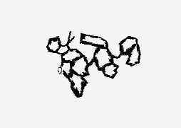 CC1(C)c2ccccc2-c2c1cc1c(-c3c4ccccc4c(-c4cccc5ccccc45)c4ccccc34)cc3cccc4oc2c1c34